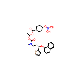 CC(OC(=O)C1CCC(ON(O)O)CC1)OC(=O)N(C)CC[C@H](Oc1cccc2ccccc12)c1cccs1